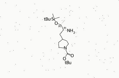 C[C@@H](O[Si](C)(C)C(C)(C)C)[C@H](N)CC1CCN(C(=O)OC(C)(C)C)CC1